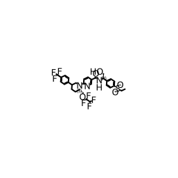 CCS(=O)(=O)c1ccc([C@H](CO)NC(=O)c2ccc(N3CC(c4ccc(C(F)(F)F)cc4)CC[C@H]3COC(F)(F)C(F)F)nc2)cc1